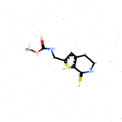 CC(C)(C)OC(=O)NCc1cc2c(s1)C(=S)NCC2